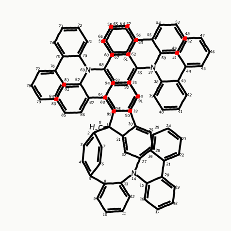 CC12c3ccc(cc3)-c3ccccc3N(c3ccccc3-c3ccccc3)c3ccc(c1c3)-c1cc3c(N(c4ccccc4-c4ccccc4)c4ccccc4-c4ccccc4)c4ccccc4c(N(c4ccccc4-c4ccccc4)c4ccccc4-c4ccccc4)c3cc12